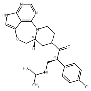 CC(C)NC[C@@H](C(=O)N1CCN2c3ncnc4[nH]cc(c34)OC[C@H]2C1)c1ccc(Cl)cc1